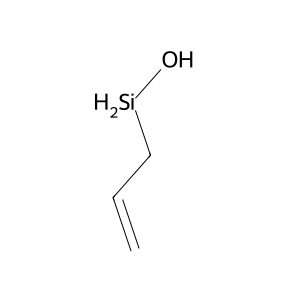 C=CC[SiH2]O